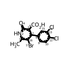 Cc1[nH]c(=O)c(C(=O)O)c(-c2ccc(Cl)c(Cl)c2)c1Br